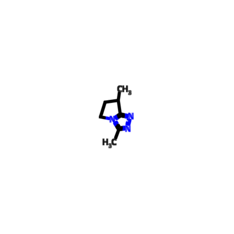 Cc1nnc2n1CCC2C